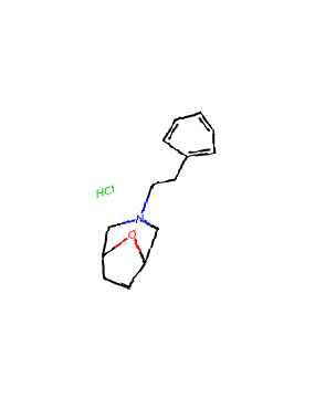 Cl.c1ccc(CCN2CC3CCC(C2)O3)cc1